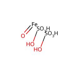 O=S(=O)(O)O.O=S(=O)(O)O.[O]=[Fe]